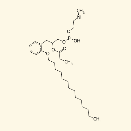 CCCCCCCCCCCCCCOc1ccccc1CC(COP(O)OCCNC)OC(=O)CC